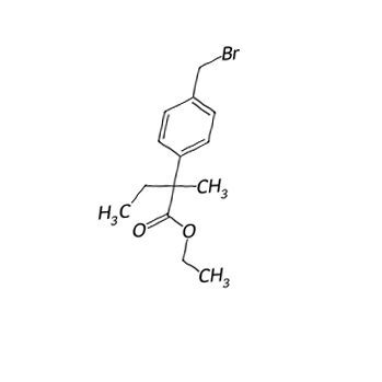 CCOC(=O)C(C)(CC)c1ccc(CBr)cc1